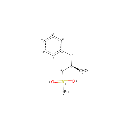 CC(C)(C)S(=O)(=O)C[C@H](C=O)Cc1ccccc1